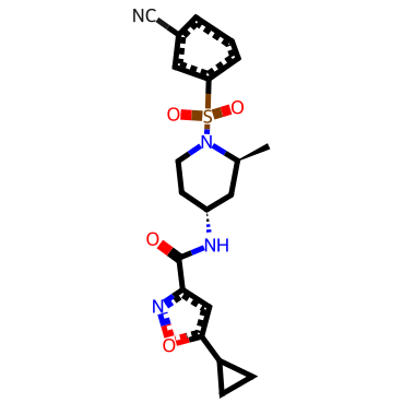 C[C@H]1C[C@H](NC(=O)c2cc(C3CC3)on2)CCN1S(=O)(=O)c1cccc(C#N)c1